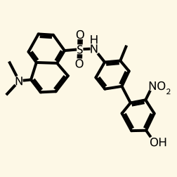 Cc1cc(-c2ccc(O)cc2[N+](=O)[O-])ccc1NS(=O)(=O)c1cccc2c(N(C)C)cccc12